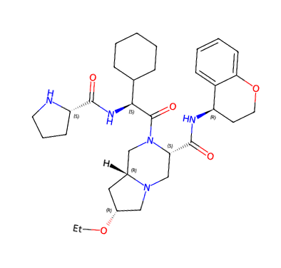 CCO[C@@H]1C[C@@H]2CN(C(=O)[C@@H](NC(=O)[C@@H]3CCCN3)C3CCCCC3)[C@H](C(=O)N[C@@H]3CCOc4ccccc43)CN2C1